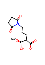 O=C([O-])C(CCCN1C(=O)CCC1=O)C(=O)O.[Na+]